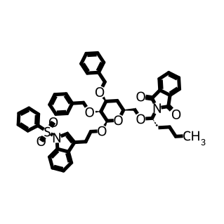 CCCC[C@H](OC[C@@H]1C[C@H](OCc2ccccc2)[C@@H](OCc2ccccc2)[C@H](OCCc2cn(S(=O)(=O)c3ccccc3)c3ccccc23)O1)N1C(=O)c2ccccc2C1=O